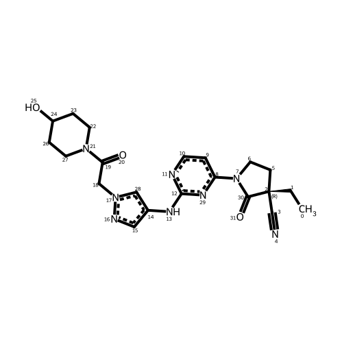 CC[C@]1(C#N)CCN(c2ccnc(Nc3cnn(CC(=O)N4CCC(O)CC4)c3)n2)C1=O